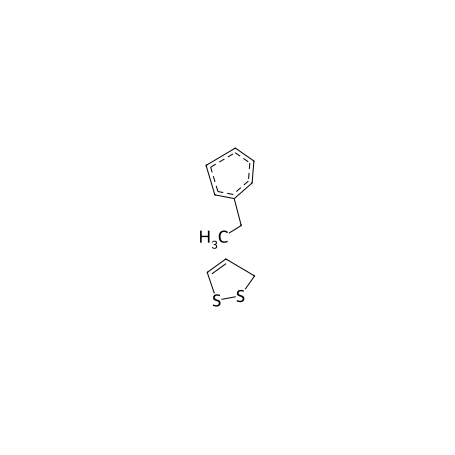 C1=CSSC1.CCc1ccccc1